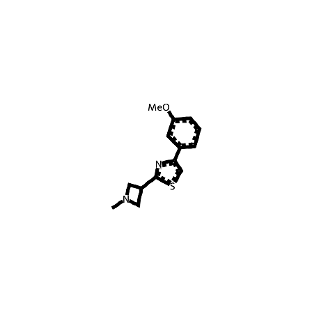 COc1cccc(-c2csc(C3CN(C)C3)n2)c1